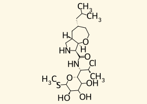 CSC1O[C@H]([C@H](NC(=O)[C@H]2NC[C@@H]3C[C@H](CC(C)C)CCO[C@H]32)[C@H](C)Cl)C(O)C(O)[C@H]1O